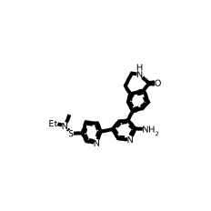 CCN(C)Sc1ccc(-c2cnc(N)c(-c3ccc4c(c3)CCNC4=O)c2)nc1